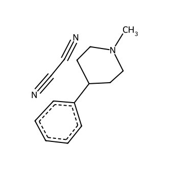 CN1CCC(c2ccccc2)CC1.N#CC#N